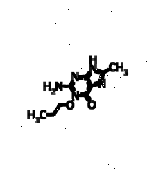 CCCOn1c(N)nc2[nH]c(C)nc2c1=O